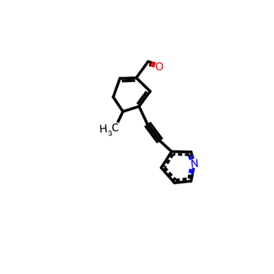 CC1CC=C(C=O)C=C1C#Cc1cccnc1